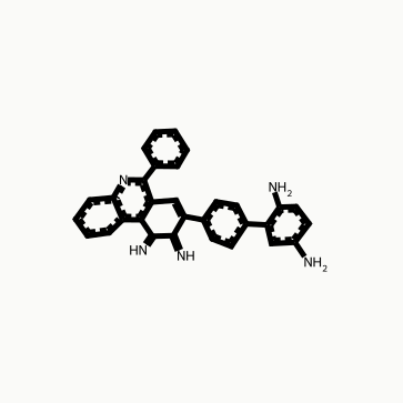 N=C1C(=N)c2c(c(-c3ccccc3)nc3ccccc23)C=C1c1ccc(-c2cc(N)ccc2N)cc1